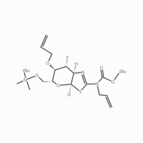 C=CCO[C@H]1[C@H](F)[C@H]2N=C(N(CC=C)C(=O)OC(C)(C)C)S[C@H]2O[C@@H]1CO[Si](C)(C)C(C)(C)C